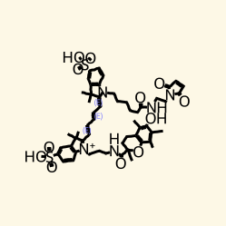 Cc1c(C)c2c(c(C)c1O)CCC(C)(C(=O)NCCC[N+]1=C(/C=C/C=C/C=C3/N(CCCCCC(=O)NCCN4C(=O)C=CC4=O)c4ccc(S(=O)(=O)O)cc4C3(C)C)C(C)(C)c3cc(S(=O)(=O)O)ccc31)O2